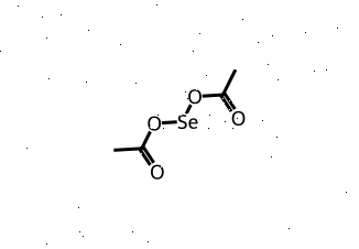 CC(=O)O[Se]OC(C)=O